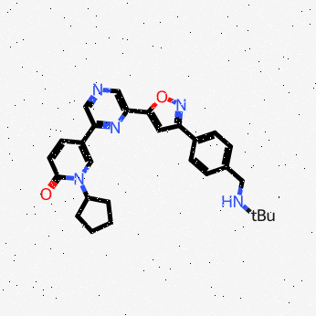 CC(C)(C)NCc1ccc(-c2cc(-c3cncc(-c4ccc(=O)n(C5CCCC5)c4)n3)on2)cc1